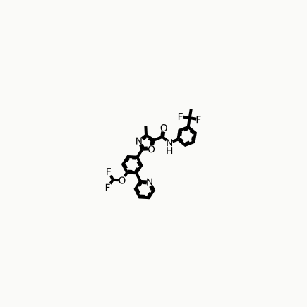 Cc1nc(-c2ccc(OC(F)F)c(-c3ccccn3)c2)oc1C(=O)Nc1cccc(C(C)(F)F)c1